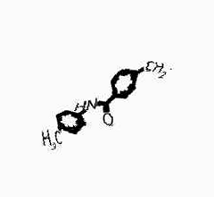 [CH2]c1ccc(C(=O)Nc2ccc(C)cc2)cc1